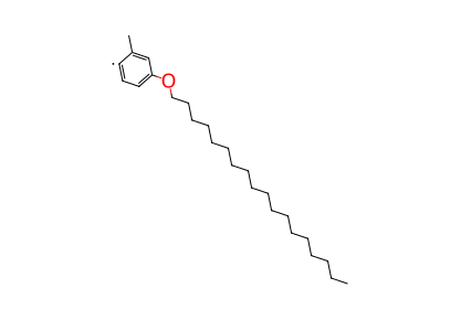 CCCCCCCCCCCCCCCCCCOc1cc[c]c(C)c1